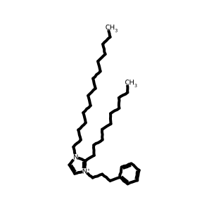 CCCCCCCCCCCCCCCn1cc[n+](CCCc2ccccc2)c1CCCCCCCCCC